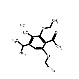 CCOc1cc(C(C)N)c(C)c(OCC)c1C(C)=O.Cl